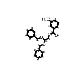 Cc1cccc(C(=O)OCC(OCc2ccccc2)OCc2ccccc2)c1